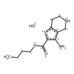 CCCCOC(=O)c1sc2c(c1N)CNCC2.Cl